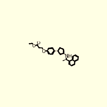 CCOC(=O)CCOc1ccc([C@@H]2CC[C@H](N[C@H](C)c3cccc4ccccc34)C2)cc1